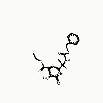 CCOC(=O)c1nc(C(C)(C)NC(=O)OCc2ccccc2)[nH]c(=O)c1O